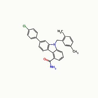 Cc1ccc(C)c(Cn2c3cc(-c4ccc(Cl)cc4)c[c]c3c3c(C(N)=O)cccc32)c1